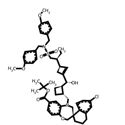 CC[C@H](CS(=O)(=O)N(Cc1ccc(OC)cc1)Cc1ccc(OC)cc1)[C@H]1C=C([C@H](O)[C@@H]2CC[C@H]2CN2C[C@@]3(CCCc4cc(Cl)ccc43)COc3ccc(C(=O)OC(C)(C)C)cc32)C1